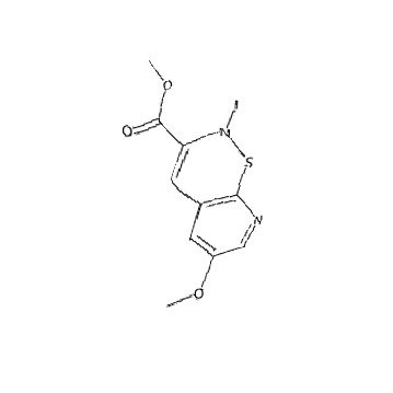 COC(=O)C1=Cc2cc(OC)cnc2SN1I